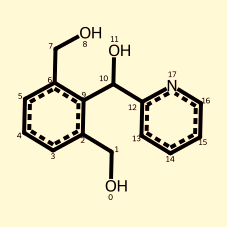 OCc1cccc(CO)c1C(O)c1ccccn1